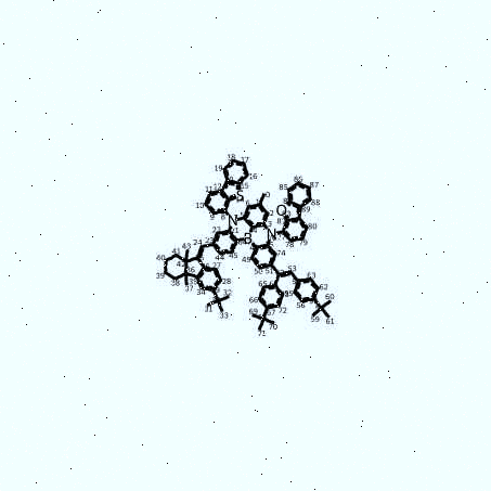 Cc1cc2c3c(c1)N(c1cccc4c1sc1ccccc14)c1cc(/C=C4\c5ccc(C(C)(C)C)cc5C5(C)CCCCC45C)ccc1B3c1ccc(/C(=C/c3ccc(C(C)(C)C)cc3)c3ccc(C(C)(C)C)cc3)cc1N2c1cccc2c1oc1ccccc12